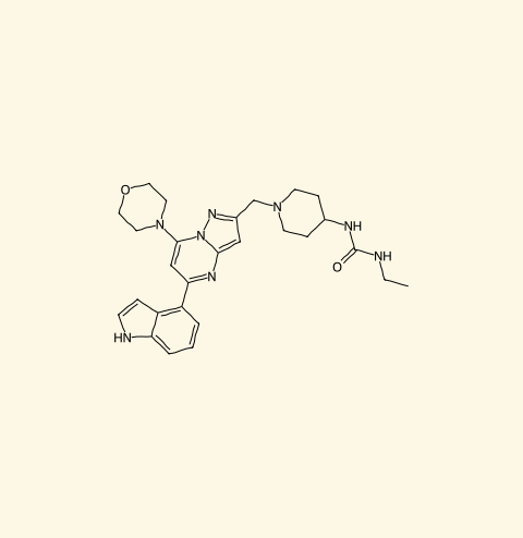 CCNC(=O)NC1CCN(Cc2cc3nc(-c4cccc5[nH]ccc45)cc(N4CCOCC4)n3n2)CC1